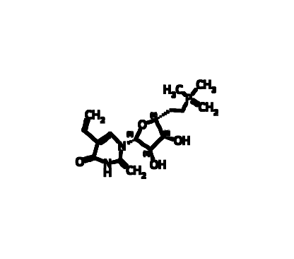 C=CC1=CN([C@@H]2O[C@H](CCP(=C)(C)C)[C@@H](O)[C@H]2O)C(=C)NC1=O